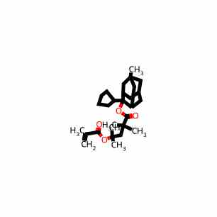 C=C(C)C(=O)OC(C)(C)CC(C)(C)C(=O)OC1(C2CCCC2)C2CC3CC1CC(C)(C3)C2